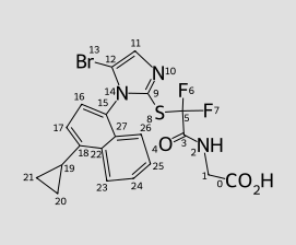 O=C(O)CNC(=O)C(F)(F)Sc1ncc(Br)n1-c1ccc(C2CC2)c2ccccc12